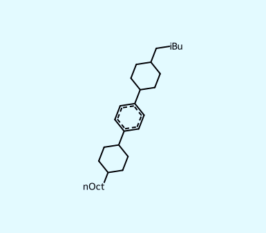 CCCCCCCCC1CCC(c2ccc(C3CCC(CC(C)CC)CC3)cc2)CC1